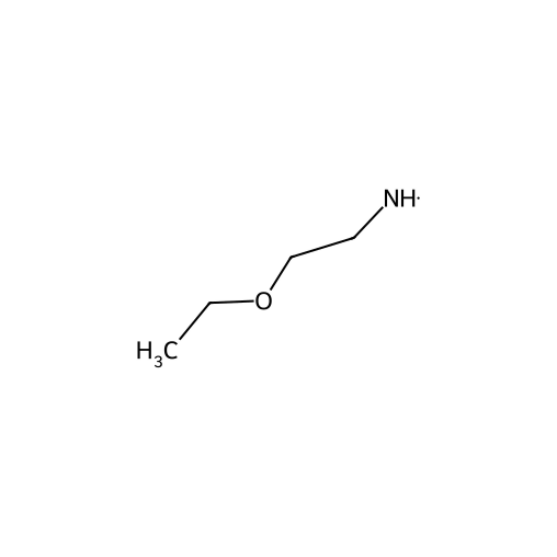 CCOCC[NH]